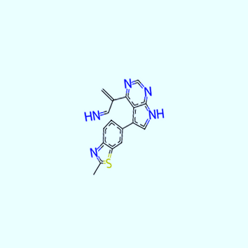 C=C(C=N)c1ncnc2[nH]cc(-c3ccc4nc(C)sc4c3)c12